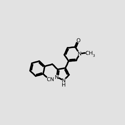 Cn1cc(-c2c[nH]nc2Cc2ccccc2C#N)ccc1=O